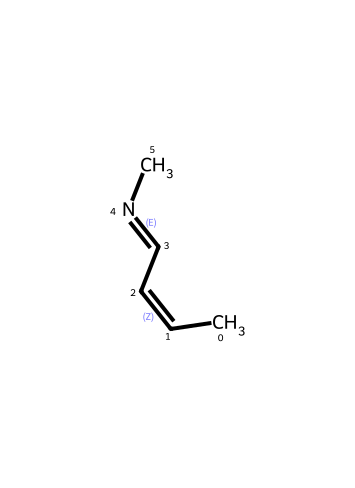 C/C=C\C=N\C